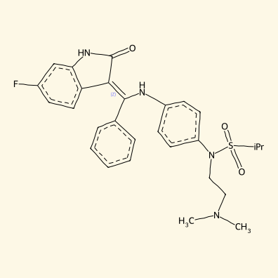 CC(C)S(=O)(=O)N(CCN(C)C)c1ccc(N/C(=C2\C(=O)Nc3cc(F)ccc32)c2ccccc2)cc1